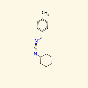 Cc1ccc(CN=C=NC2CCCCC2)cc1